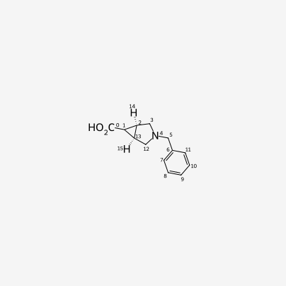 O=C(O)C1[C@H]2CN(Cc3ccccc3)C[C@@H]12